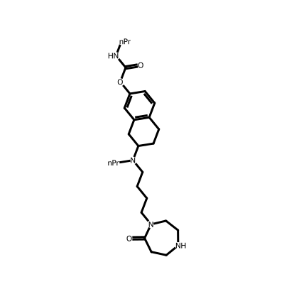 CCCNC(=O)Oc1ccc2c(c1)CC(N(CCC)CCCCN1CCNCCC1=O)CC2